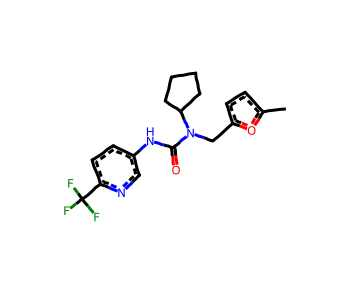 Cc1ccc(CN(C(=O)Nc2ccc(C(F)(F)F)nc2)C2CCCC2)o1